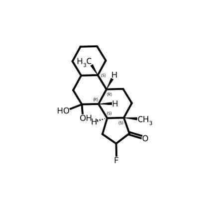 C[C@]12CCCCC1CC(O)(O)[C@@H]1[C@H]2CC[C@]2(C)C(=O)C(F)C[C@@H]12